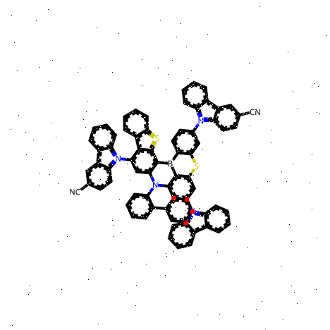 N#Cc1ccc2c(c1)c1ccccc1n2-c1ccc2c(c1)Sc1cc(-n3c4ccccc4c4ccccc43)cc3c1B2c1c(cc(-n2c4ccccc4c4cc(C#N)ccc42)c2c1sc1ccccc12)N3c1ccccc1-c1ccccc1